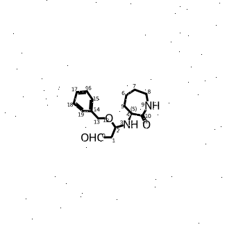 O=CCC(N[C@H]1CCCCNC1=O)OCc1ccccc1